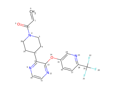 C=CC(=O)N1CCC(c2nccnc2Oc2ccc(C(F)(F)F)nc2)CC1